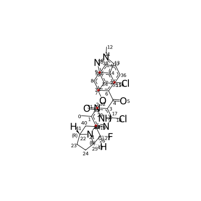 Cc1nc(C(=O)c2ccc3nn(C)cc3c2Cl)c(Cl)nc1N1[C@@H]2CC[C@@H]1[C@@H](F)[C@@H](NC(=O)OCc1ccccc1)C2